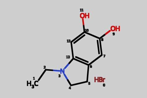 Br.CCN1CCc2cc(O)c(O)cc21